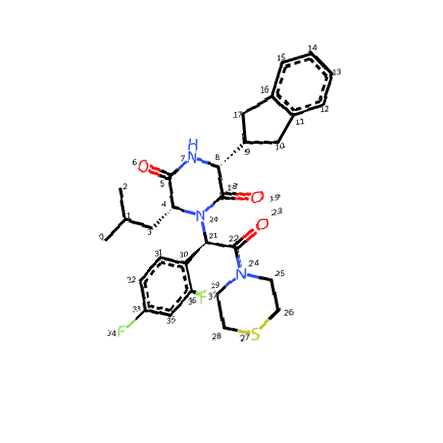 CC(C)C[C@@H]1C(=O)N[C@H](C2Cc3ccccc3C2)C(=O)N1[C@@H](C(=O)N1CCSCC1)c1ccc(F)cc1F